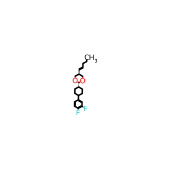 CCC/C=C/[C@H]1CO[C@H](C2CCC(c3ccc(F)c(F)c3)CC2)OC1